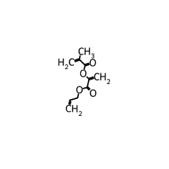 C=CCOC(=O)C(=C)OC(=O)C(=C)C